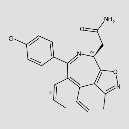 C=CC1=C(/C=C\C)C(c2ccc(Cl)cc2)=N[C@@H](CC(N)=O)c2onc(C)c21